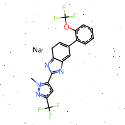 Cn1nc(C(F)(F)F)cc1C1=NC2=CC(c3ccccc3OC(F)(F)F)=CCC2=N1.[Na]